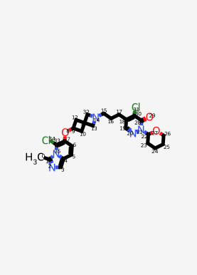 Cc1ncc2ccc(OC3CC4(C3)CN(CCCc3cnn(C5CCCCO5)c(=O)c3Cl)C4)c(Cl)n12